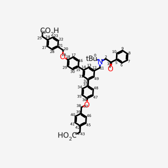 CC(C)(C)N(CC(=O)c1ccccc1)Cc1cc(-c2ccc(OCc3ccc(CC(=O)O)cc3)cc2)cc(-c2ccc(OCc3ccc(CC(=O)O)cc3)cc2)c1